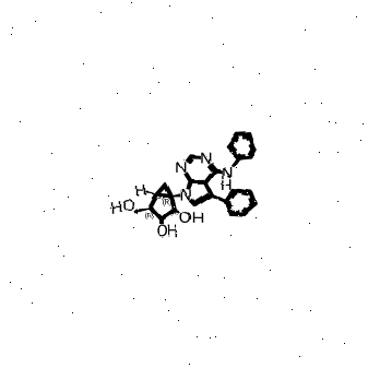 OC[C@@H]1C(O)[C@H](O)[C@@]2(N3C=C(c4ccccc4)C4C(Nc5ccccc5)=NC=NC43)C[C@@H]12